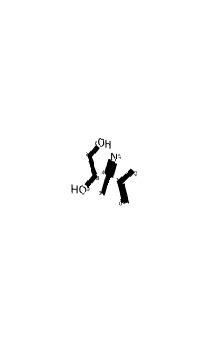 C=CC.CC#N.OCCO